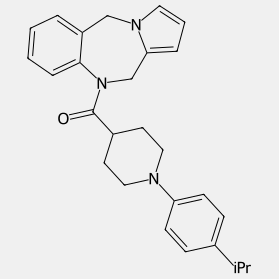 CC(C)c1ccc(N2CCC(C(=O)N3Cc4cccn4Cc4ccccc43)CC2)cc1